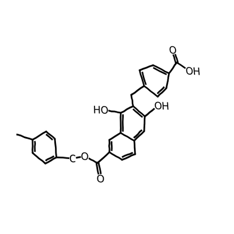 Cc1ccc(COC(=O)c2ccc3cc(O)c(Cc4ccc(C(=O)O)cc4)c(O)c3c2)cc1